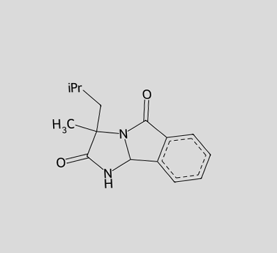 CC(C)CC1(C)C(=O)NC2c3ccccc3C(=O)N21